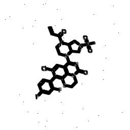 C=CC(=O)N1CCN(c2nc(=O)n3c4c(c(-c5ccc(F)cc5F)c(Cl)cc24)SCC3)C2CN(S(C)(=O)=O)CC21